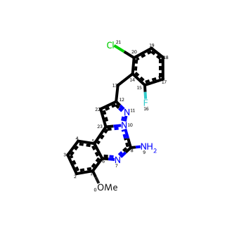 COc1cccc2c1nc(N)n1nc(Cc3c(F)cccc3Cl)cc21